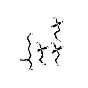 CCCS(=O)(=O)O.CCCS(=O)(=O)O.CCCS(=O)(=O)O.OCCCCC(O)CO